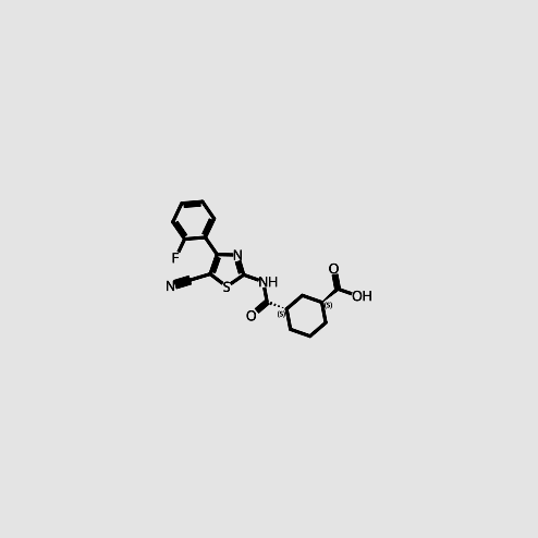 N#Cc1sc(NC(=O)[C@H]2CCC[C@H](C(=O)O)C2)nc1-c1ccccc1F